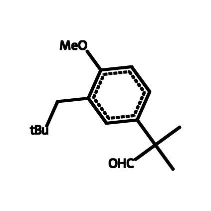 COc1ccc(C(C)(C)C=O)cc1CC(C)(C)C